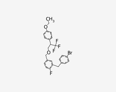 CCOc1ccc(C(COCc2ccc(F)c(Cc3ccc(Br)cc3)c2)C(F)(F)F)cc1